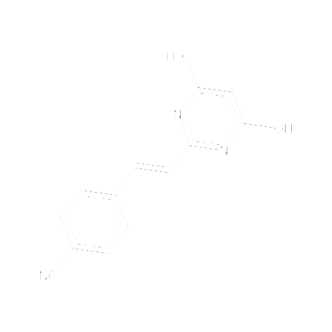 Cc1cc(O)nc(C=Cc2ccc(C#N)cc2)n1